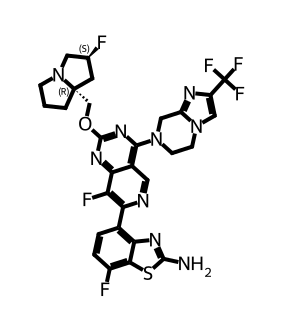 Nc1nc2c(-c3ncc4c(N5CCn6cc(C(F)(F)F)nc6C5)nc(OC[C@]56CCCN5C[C@@H](F)C6)nc4c3F)ccc(F)c2s1